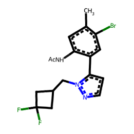 CC(=O)Nc1cc(C)c(Br)cc1-c1ccnn1CC1CC(F)(F)C1